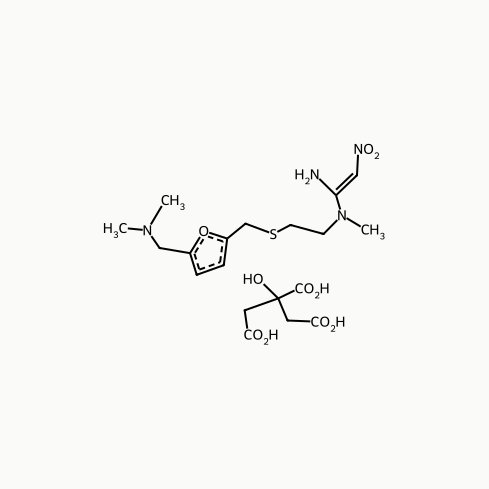 CN(C)Cc1ccc(CSCCN(C)C(N)=C[N+](=O)[O-])o1.O=C(O)CC(O)(CC(=O)O)C(=O)O